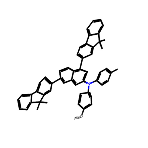 COc1ccc(N(c2ccc(C)cc2)c2cc(-c3ccc4c(c3)C(C)(C)c3ccccc3-4)c3ccc(-c4ccc5c(c4)C(C)(C)c4ccccc4-5)cc3c2)cc1